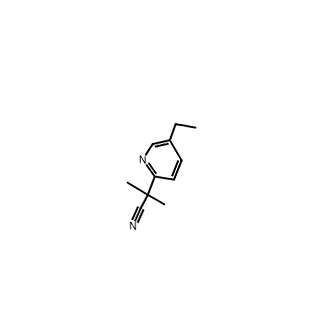 CCc1ccc(C(C)(C)C#N)nc1